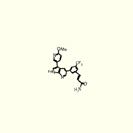 COc1ccc(-c2c[nH]c3ncc(-c4cc(C=CC(N)=O)cc(C(F)(F)F)c4)cc23)cn1